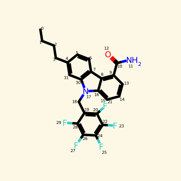 CCCCc1c[c]c2c3c(C(N)=O)cccc3n(Cc3c(F)c(F)c(F)c(F)c3F)c2c1